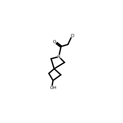 O=C(CCl)N1CC2(CC(O)C2)C1